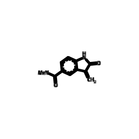 C=C1C(=O)Nc2ccc(C(=O)NC)cc21